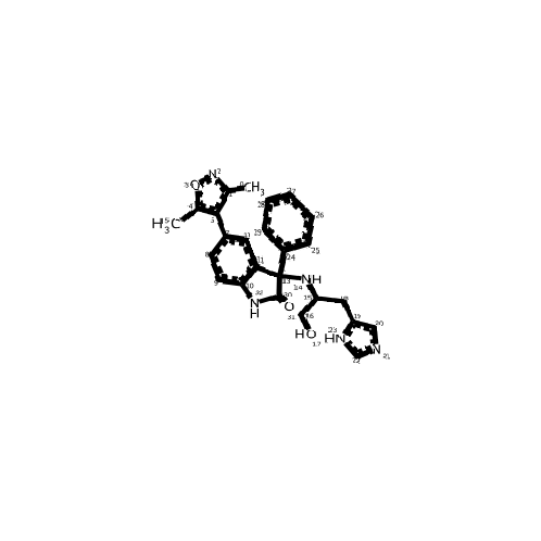 Cc1noc(C)c1-c1ccc2c(c1)C(NC(CO)Cc1cnc[nH]1)(c1ccccc1)C(=O)N2